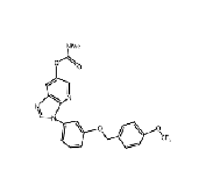 CNC(=O)Oc1cnc2c(c1)ncn2-c1cccc(OCc2ccc(OC(F)(F)F)cc2)c1